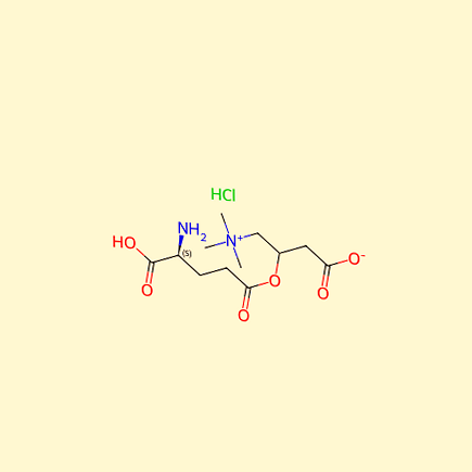 C[N+](C)(C)CC(CC(=O)[O-])OC(=O)CC[C@H](N)C(=O)O.Cl